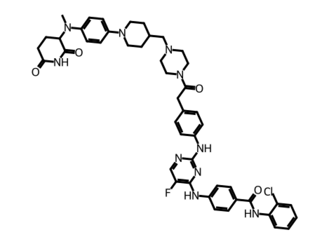 CN(c1ccc(N2CCC(CN3CCN(C(=O)Cc4ccc(Nc5ncc(F)c(Nc6ccc(C(=O)Nc7ccccc7Cl)cc6)n5)cc4)CC3)CC2)cc1)C1CCC(=O)NC1=O